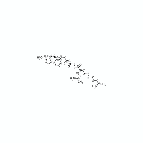 CCC1CCC2C3CC=C4CC(OC(=O)CCC(=O)N(CCCCCCCC(C)N)CCC(C)N)CCC4(C)C3CCC12C